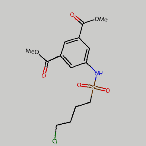 COC(=O)c1cc(NS(=O)(=O)CCCCCl)cc(C(=O)OC)c1